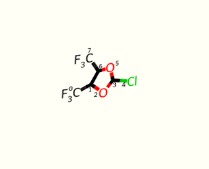 FC(F)(F)C1OC(Cl)OC1C(F)(F)F